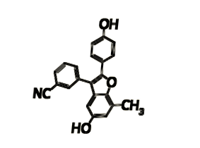 Cc1cc(O)cc2c(-c3cccc(C#N)c3)c(-c3ccc(O)cc3)oc12